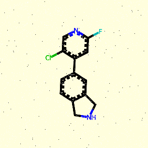 Fc1cc(-c2ccc3c(c2)CNC3)c(Cl)cn1